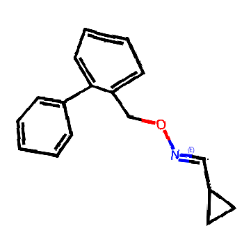 [C](=N\OCc1ccccc1-c1ccccc1)/C1CC1